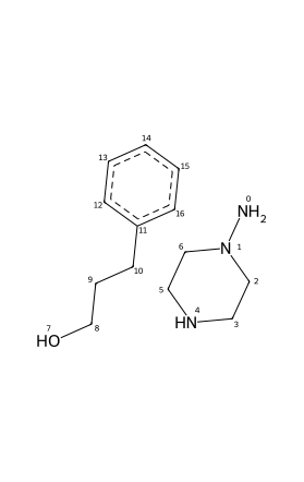 NN1CCNCC1.OCCCc1ccccc1